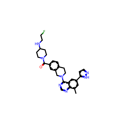 Cc1cc(-c2ccn[nH]2)cc2c(N3CCc4ccc(C(=O)N5CCC(NCCF)CC5)cc4C3)ncnc12